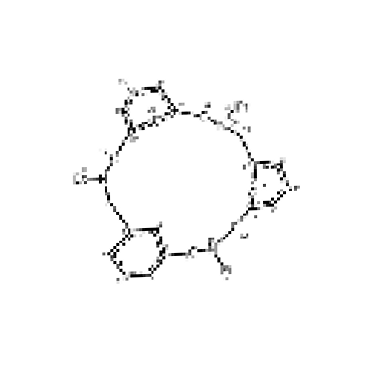 CCN1Cc2cncc(c2)CN(CC)Cc2cncc(c2)CN(C(C)C)Cc2cncc(c2)C1